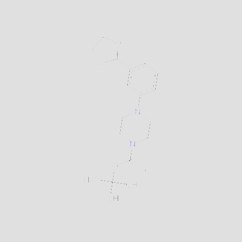 CC(C)(C)OC(=O)N1CCN(c2cccc(C3OCCO3)c2)CC1